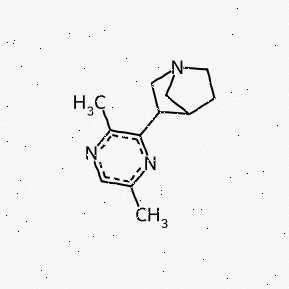 Cc1cnc(C)c(C2CN3CCC2C3)n1